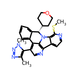 CSc1nccc2c3ncc(-c4c(C)nnn4C)c4c3n(c12)[C@@H](C1CCOCC1)c1ccccc1-4